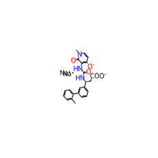 Cc1ccccc1-c1cccc([C@H](CC(=O)[O-])NC(=O)Nc2c([O-])ccn(C)c2=O)c1.[Na+].[Na+]